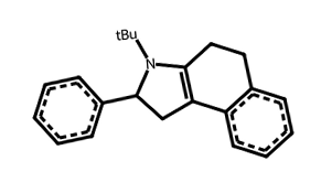 CC(C)(C)N1C2=C(CC1c1ccccc1)c1ccccc1CC2